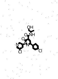 CC(CO)NC(=O)c1cc(-c2ccc(Cl)cc2)nn(-c2cncc(Cl)c2)c1=O